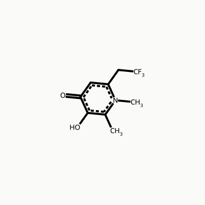 Cc1c(O)c(=O)cc(CC(F)(F)F)n1C